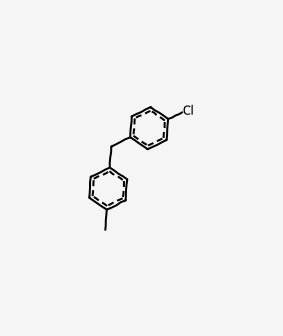 Cc1ccc(Cc2ccc(Cl)cc2)cc1